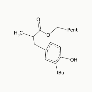 CCCC(C)COC(=O)C(C)Cc1ccc(O)c(C(C)(C)C)c1